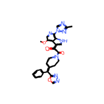 COc1cnc(-n2cnc(C)n2)c2[nH]cc(C(=O)C(=O)N3CCC(=C(c4ccccc4)c4nnco4)CC3)c12